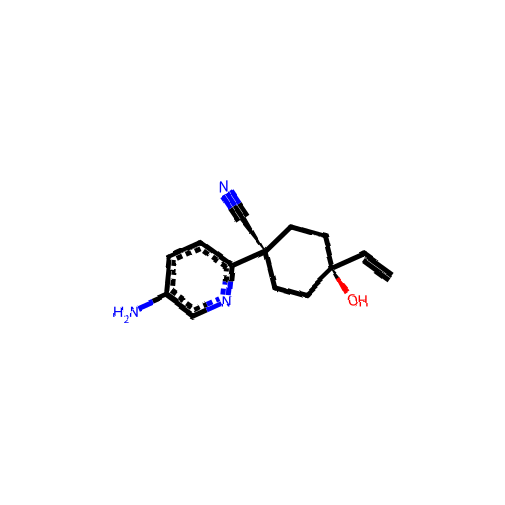 C=C[C@]1(O)CC[C@](C#N)(c2ccc(N)cn2)CC1